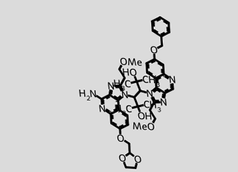 COCCc1nc2cnc3cc(OCc4ccccc4)ccc3c2n1C(C(n1c(CCOC)nc2c(N)nc3cc(OCC4OCCO4)ccc3c21)C(C)(C)O)C(C)(C)O